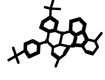 CC1=CC2C3B(c4cc(C(C)(C)C)ccc4N2c2ccc(C(C)(C)C)cc2)c2cccc4c5c(n(c24)C3=C1)C=CCC5C